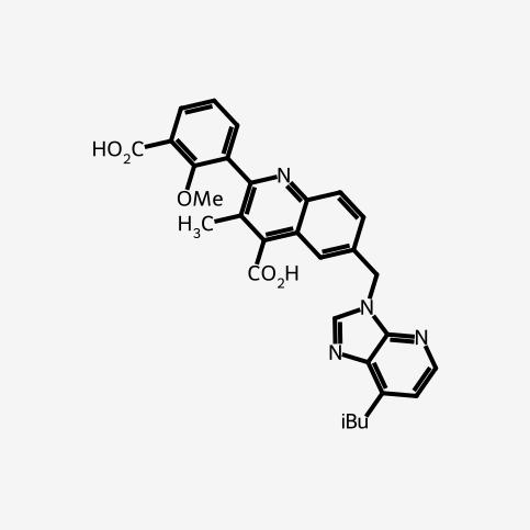 CCC(C)c1ccnc2c1ncn2Cc1ccc2nc(-c3cccc(C(=O)O)c3OC)c(C)c(C(=O)O)c2c1